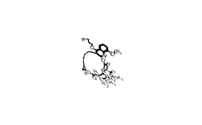 COC(=O)[C@@H]1C[C@@H]2CN1C(=O)[C@H](C(C)(C)C)NC(=O)O[C@@H]1CC1CCCCCc1c(nc3c(OC)cccc3c1OCCCBr)O2